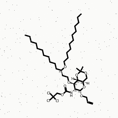 C=CCO[C@H]1O[C@@H]2COC(C)(C)O[C@H]2[C@H](OCC[C@@H](CCCCCCCCCCC)OCCCCCCCCCCCC)[C@H]1NC(=O)OCC(Cl)(Cl)Cl